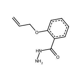 C=CCOc1ccccc1C(=O)NN